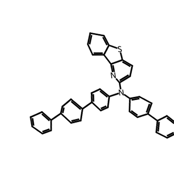 c1ccc(-c2ccc(-c3ccc(N(c4ccc(-c5ccccc5)cc4)c4ccc5sc6ccccc6c5n4)cc3)cc2)cc1